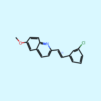 COc1ccc2nc(/C=C/c3cccc(Cl)c3)ccc2c1